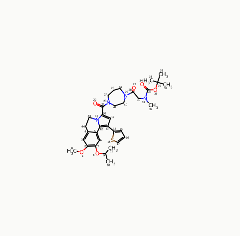 COc1cc2c(cc1OC(C)C)-c1c(-c3cccs3)cc(C(=O)N3CCCN(C(=O)CN(C)C(=O)OC(C)(C)C)CC3)n1CC2